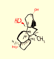 C[C@@H]1CC2=C[C@@H](O)CC[C@]2(CO)[C@H]2CC[C@]3(C)[C@@H](O)CC[C@H]3[C@H]12